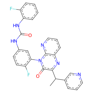 CC(c1cccnc1)c1nc2cccnc2n(-c2cc(NC(=O)Nc3ccccc3F)ccc2F)c1=O